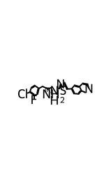 N[C@@H](CNc1ncc(-c2ccc3cnccc3c2)s1)Cc1ccc(Cl)c(F)c1